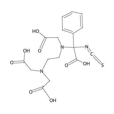 O=C(O)CN(CCN(CC(=O)O)C(N=C=S)(C(=O)O)c1ccccc1)CC(=O)O